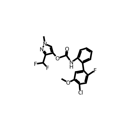 COc1cc(-c2ccccc2NC(=O)Oc2cn(C)nc2C(F)F)c(F)cc1Cl